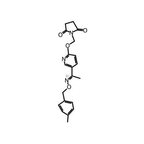 C/C(=N\OCc1ccc(C)cc1)c1ccc(OCN2C(=O)CCC2=O)nc1